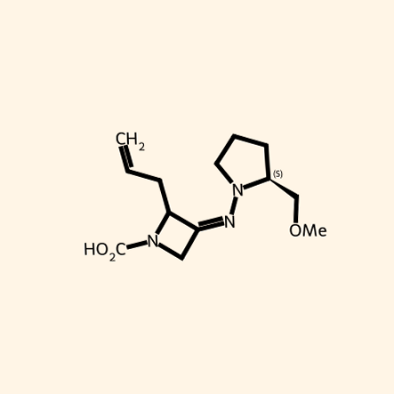 C=CCC1C(=NN2CCC[C@H]2COC)CN1C(=O)O